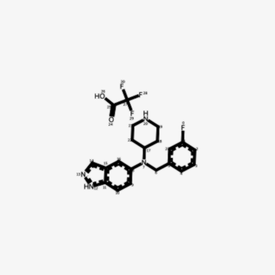 Fc1cccc(CN(c2ccc3[nH]ncc3c2)C2CCNCC2)c1.O=C(O)C(F)(F)F